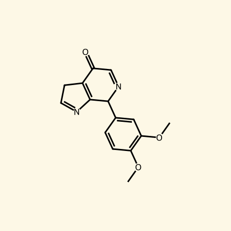 COc1ccc(C2N=CC(=O)C3=C2N=CC3)cc1OC